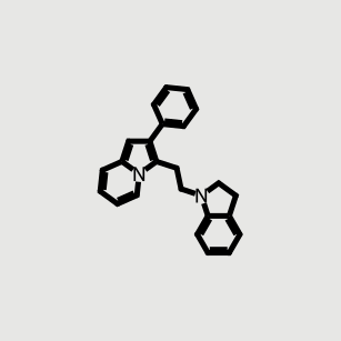 c1ccc(-c2cc3ccccn3c2CCN2CCc3ccccc32)cc1